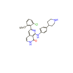 COc1cccc(Cl)c1-c1cc2cc[nH]c(=O)c2c(Nc2ccc(C3CCNCC3)cc2)n1